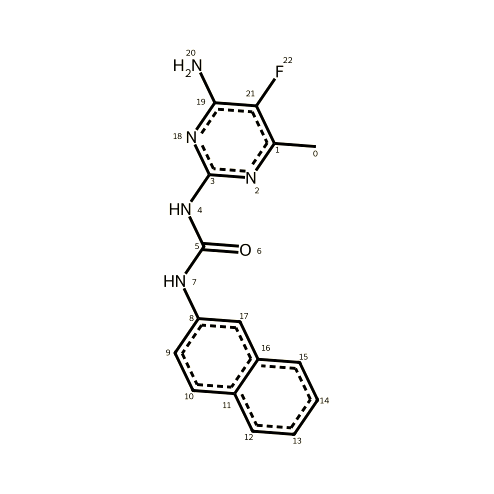 Cc1nc(NC(=O)Nc2ccc3ccccc3c2)nc(N)c1F